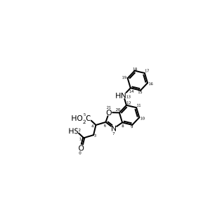 O=C(S)CC(C(=O)O)c1nc2cccc(Nc3ccccc3)c2o1